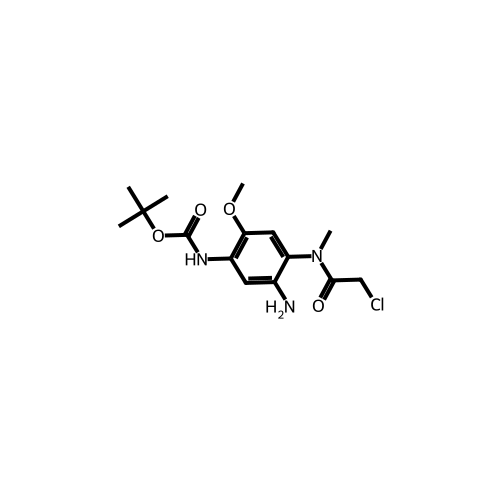 COc1cc(N(C)C(=O)CCl)c(N)cc1NC(=O)OC(C)(C)C